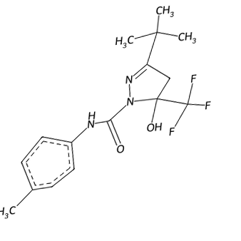 Cc1ccc(NC(=O)N2N=C(C(C)(C)C)CC2(O)C(F)(F)F)cc1